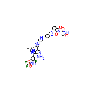 Cn1nc(-c2ccc(NS(=O)(=O)C(F)F)c(F)c2)c2c(N)ncc(-c3cnn(C4CCN(Cc5cccc(CNc6cccc7c6C(=O)N(C6CCC(=O)NC6=O)C7=O)c5)CC4)c3)c21